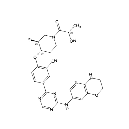 C[C@H](O)C(=O)N1CC[C@H](Oc2ccc(-c3ncnc(Nc4cnc5c(c4)OCCN5)n3)cc2C#N)[C@@H](F)C1